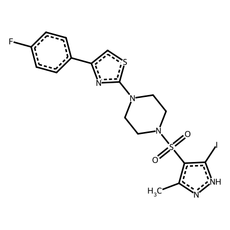 Cc1n[nH]c(I)c1S(=O)(=O)N1CCN(c2nc(-c3ccc(F)cc3)cs2)CC1